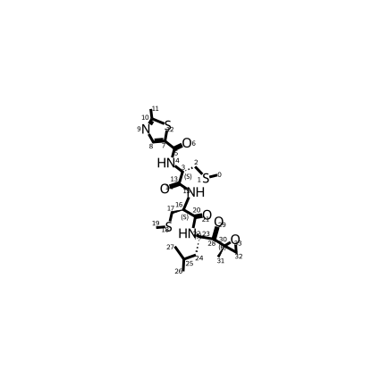 CSC[C@@H](NC(=O)c1cnc(C)s1)C(=O)N[C@H](CSC)C(=O)N[C@@H](CC(C)C)C(=O)[C@@]1(C)CO1